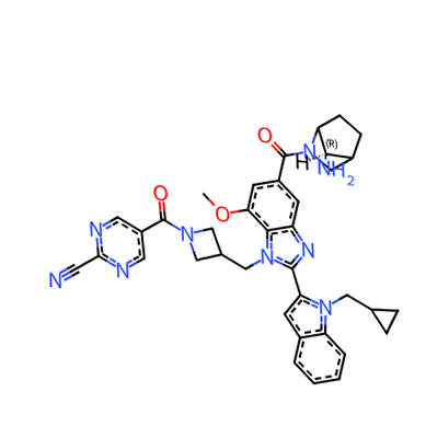 COc1cc(C(=O)N2CC3CCC2[C@@H]3N)cc2nc(-c3cc4ccccc4n3CC3CC3)n(CC3CN(C(=O)c4cnc(C#N)nc4)C3)c12